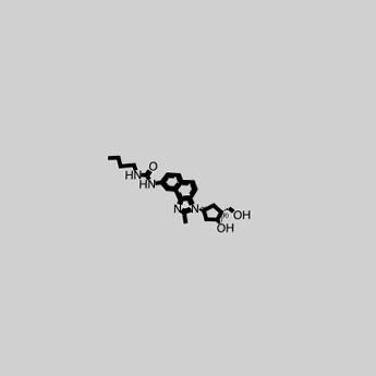 CCCCNC(=O)Nc1ccc2ccc3c(nc(C)n3[C@@H]3C[C@H](CO)[C@@H](O)C3)c2c1